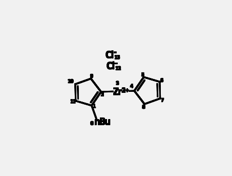 CCCCC1=[C]([Zr+2][C]2=CC=CC2)CC=C1.[Cl-].[Cl-]